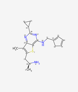 Cc1c(C[C@H](C)N)sc2c(NCC3=CC=CC3)nc(C3CC3)nc12